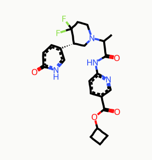 CC(C(=O)Nc1ccc(C(=O)OC2CCC2)cn1)N1CCC(F)(F)[C@@H](c2ccc(=O)[nH]c2)C1